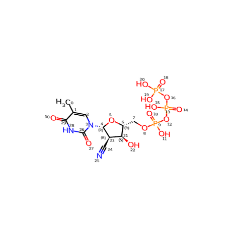 Cc1cn([C@@H]2O[C@H](COP(=O)(O)OP(=O)(O)OP(=O)(O)O)[C@@H](O)[C@H]2C#N)c(=O)[nH]c1=O